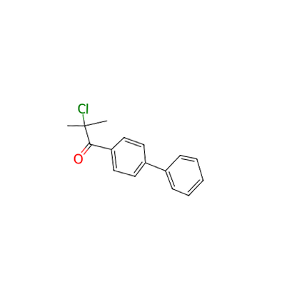 CC(C)(Cl)C(=O)c1ccc(-c2ccccc2)cc1